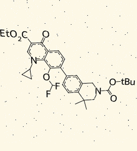 CCOC(=O)c1cn(C2CC2)c2c(OC(F)F)c(-c3ccc4c(c3)CN(C(=O)OC(C)(C)C)CC4(C)C)ccc2c1=O